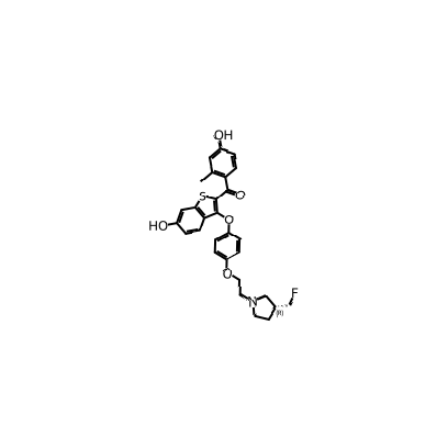 Cc1cc(O)ccc1C(=O)c1sc2cc(O)ccc2c1Oc1ccc(OCCN2CC[C@@H](CF)C2)cc1